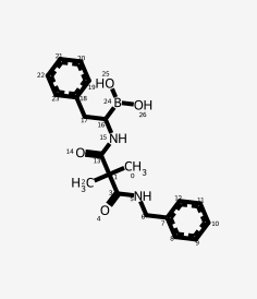 CC(C)(C(=O)NCc1ccccc1)C(=O)NC(Cc1ccccc1)B(O)O